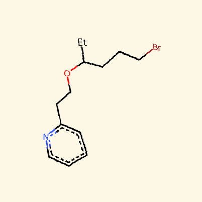 CCC(CCCBr)OCCc1ccccn1